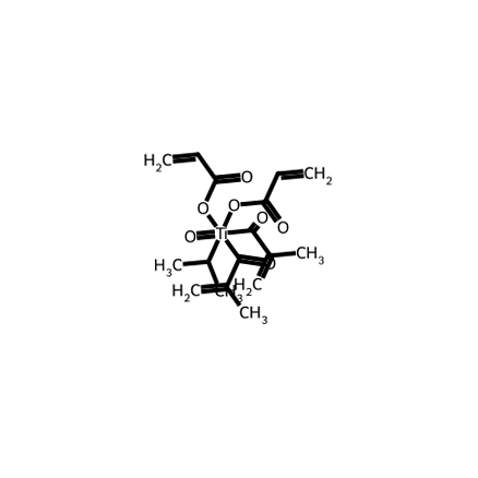 C=CC(=O)[O][Ti](=[O])([O]C(=O)C=C)([C](=O)C(=C)C)([C](=O)C(=C)C)[CH](C)C